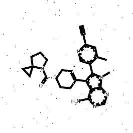 C#Cc1cc(C)c(-c2c(C3=CC[C@@H](C(=O)N4CCCC45CC5)CC3)c3c(N)ncnc3n2C)cn1